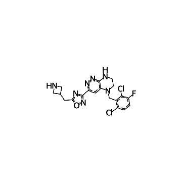 Fc1ccc(Cl)c(CN2CCNc3nnc(-c4noc(CC5CNC5)n4)cc32)c1Cl